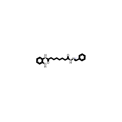 O=C(CCCCCCC(=O)Nc1ccccc1O)N/N=C/c1ccccc1